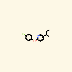 CCC(C)c1ccc(Oc2ccc(F)cc2)nc1